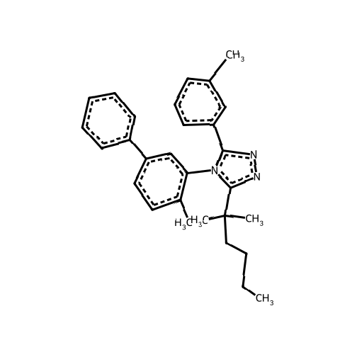 CCCCC(C)(C)c1nnc(-c2cccc(C)c2)n1-c1cc(-c2ccccc2)ccc1C